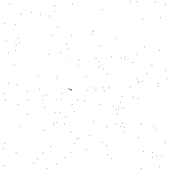 Nc1nc(C2OC[C@@H](O)[C@@H](O)[C@@]2(O)F)nc2nc[nH]c12